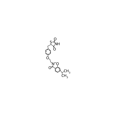 CC(C)c1ccc2c(c1)OCN(CCOc1ccc(CC3SC(=O)NC3=O)cc1)C2=O